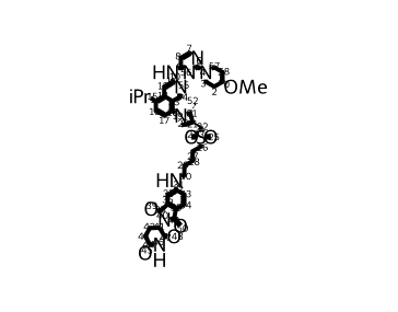 COC1CCN(c2nccc(Nc3cc4c(C(C)C)ccc(N5C[C@H](CS(=O)(=O)CCCCCNc6ccc7c(c6)C(=O)N(C6CCC(=O)NC6=O)C7=O)[C@H]5C)c4cn3)n2)CC1